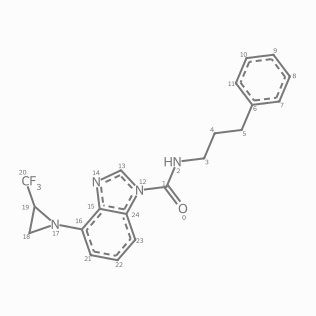 O=C(NCCCc1ccccc1)n1cnc2c(N3CC3C(F)(F)F)cccc21